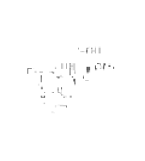 COC(=O)[C@H](CO)NC(=O)c1cc(Cl)nc2ccccc12